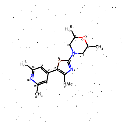 CNc1nc(N2CC(C)OC(C)C2)sc1-c1cc(C)nc(C)c1